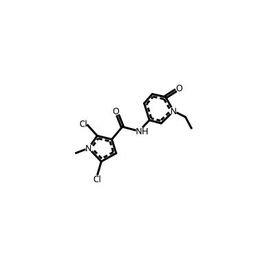 CCn1cc(NC(=O)c2cc(Cl)n(C)c2Cl)ccc1=O